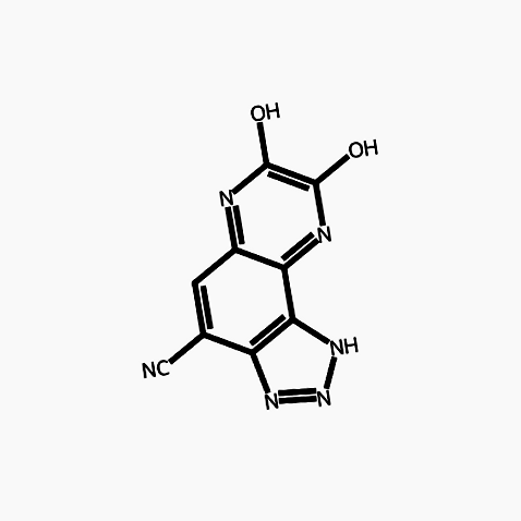 N#Cc1cc2nc(O)c(O)nc2c2[nH]nnc12